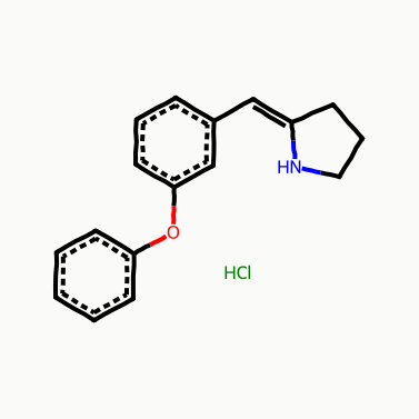 C(=C1CCCN1)c1cccc(Oc2ccccc2)c1.Cl